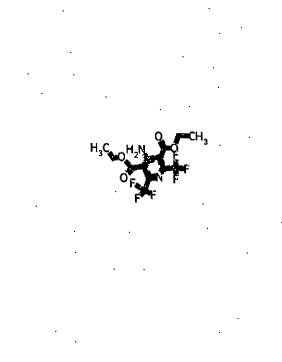 CCOC(=O)c1c(C(F)(F)F)nc(C(F)(F)F)c(C(=O)OCC)c1N